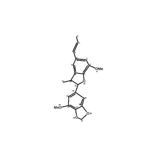 CC=Cc1cc(OC)c2c(c1)C(C)C(c1cc(OC)c3c(c1)OCO3)O2